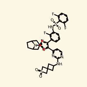 O=S1(=O)CC2(CC(Nc3nccc(-c4sc(N5C6CCC5CC(F)(F)C6)nc4-c4cccc(NS(=O)(=O)c5c(F)cccc5F)c4F)n3)C2)C1